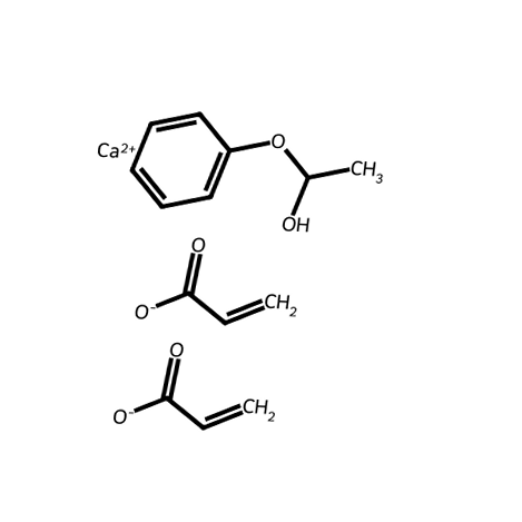 C=CC(=O)[O-].C=CC(=O)[O-].CC(O)Oc1ccccc1.[Ca+2]